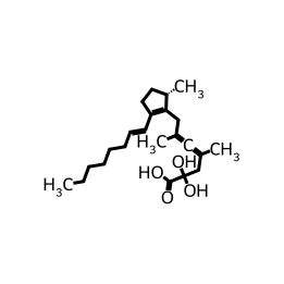 CCCCCC/C=C/C1=C(CC(C)=C=C(C)CC(O)(O)C(=O)O)[C@@H](C)CC1